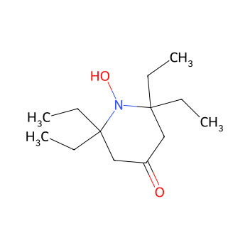 CCC1(CC)CC(=O)CC(CC)(CC)N1O